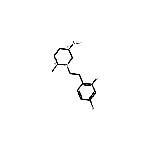 C[C@H]1CC[C@@H](C(=O)O)CN1CCc1ccc(F)cc1Cl